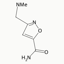 CNCc1cc(C(N)=O)on1